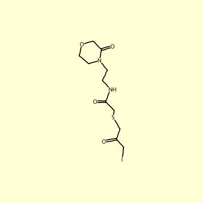 O=C(CI)CSCC(=O)NCCN1CCOCC1=O